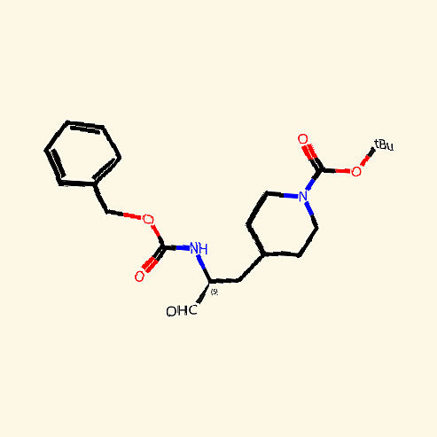 CC(C)(C)OC(=O)N1CCC(C[C@@H](C=O)NC(=O)OCc2ccccc2)CC1